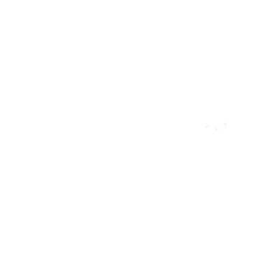 CCCCCCCCCCCCCCCCCCSCCCCCCCCCCSC=CC(=O)O